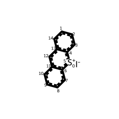 [I-].c1ccc2[s+]c3ccccc3cc2c1